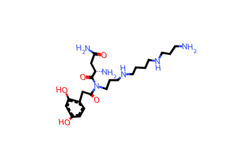 NCCCNCCCCNCCCN(C(=O)Cc1ccc(O)cc1O)C(=O)[C@@H](N)CC(N)=O